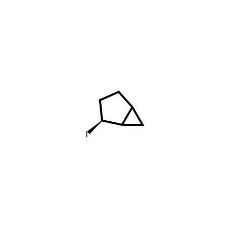 I[C@H]1CCC2CC21